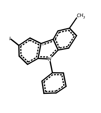 Cc1ccc2c(c1)c1cc(I)ccc1n2-c1ccccc1